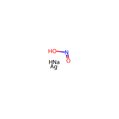 O=NO.[Ag].[NaH]